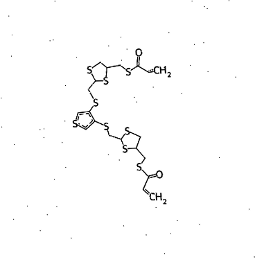 C=CC(=O)SCC1CSC(CSc2cscc2SCC2SCC(CSC(=O)C=C)S2)S1